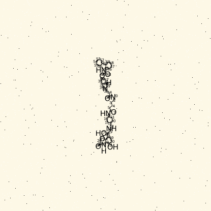 CN(CCCCC(=O)Nc1ccc(CNC[C@H](O)c2ccc(O)c3c2OCC(=O)N3)cc1)C(=O)CCN1CC2C[C@@H](OC(=O)Nc3ccccc3-c3ccccc3)C[C@@H]2C1